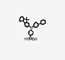 CC1(C)c2ccccc2-c2ccc(N(c3ccc(-c4ccccc4)cc3)C3C=CC(B(O)O)=CC3)cc21